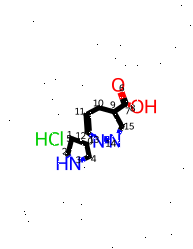 C1CCNC1.Cl.O=C(O)C1CC=CN=NC1